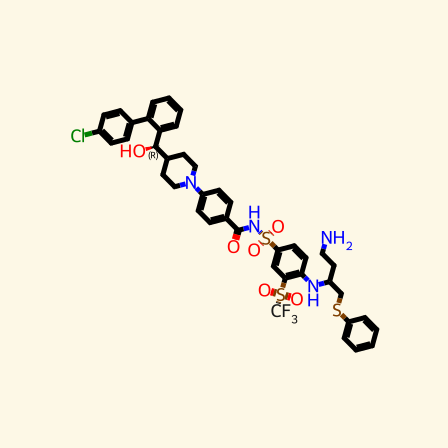 NCCC(CSc1ccccc1)Nc1ccc(S(=O)(=O)NC(=O)c2ccc(N3CCC([C@@H](O)c4ccccc4-c4ccc(Cl)cc4)CC3)cc2)cc1S(=O)(=O)C(F)(F)F